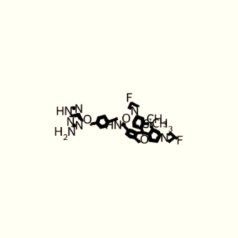 C[Si]1(C)c2cc(N3CC(F)C3)ccc2C2(OCc3ccc(C(=O)NCc4ccc(COc5nc(N)nc6[nH]cnc56)cc4)cc32)c2ccc(N3CC(F)C3)cc21